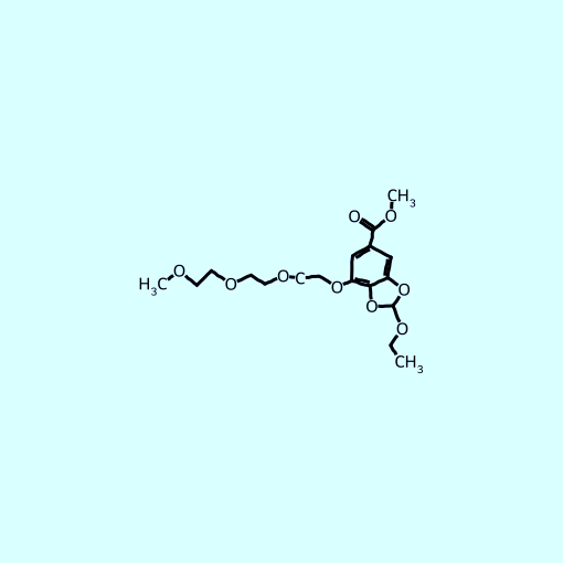 CCOC1Oc2cc(C(=O)OC)cc(OCCOCCOCCOC)c2O1